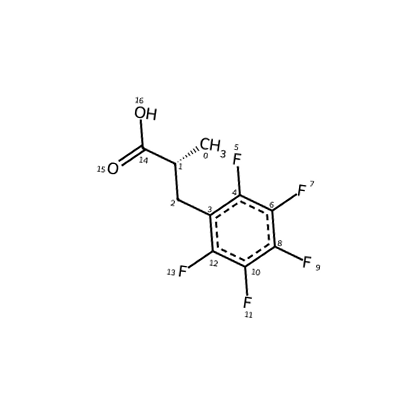 C[C@H](Cc1c(F)c(F)c(F)c(F)c1F)C(=O)O